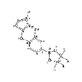 Cn1ccc(Oc2ccc(B3OC(C)(C)C(C)(C)O3)cc2F)n1